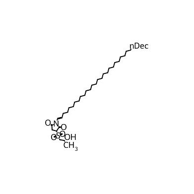 CCCCCCCCCCCCCCCCCCCCCCCCCCCCCCCCCCC=CN1C(=O)CC(S(=O)(=O)CC(C)O)C1=O